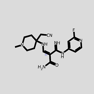 CN1CCC(CC#N)(N/C=C(\C(=N)Nc2ccnc(F)c2)C(N)=O)CC1